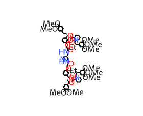 CC[C@H](C(=O)N1CCCCC1C(=O)O[C@H](CCc1ccc(OC)c(OC)c1)c1cccc(OCC(=O)NCC(CNC(=O)COc2cccc([C@@H](CCc3ccc(OC)c(OC)c3)OC(=O)C3CCCCN3C(=O)[C@@H](CC)c3cc(OC)c(OC)c(OC)c3)c2)CN(C)C)c1)c1cc(OC)c(OC)c(OC)c1